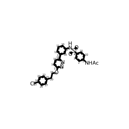 CC(=O)Nc1ccc(S(=O)(=O)Nc2cccc(-c3ccc(OCCc4ccc(Cl)cc4)nn3)c2)cc1